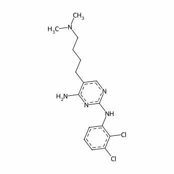 CN(C)CCCCc1cnc(Nc2cccc(Cl)c2Cl)nc1N